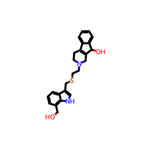 OCc1cccc2c(CSCCN3CCC4=C(C3)C(O)c3ccccc34)c[nH]c12